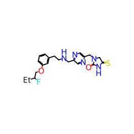 CCC(F)COc1cccc(CCNCc2cnc(CN3CC(=S)NC3=O)cn2)c1